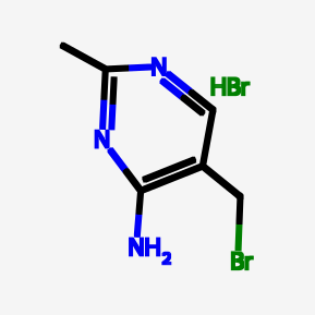 Br.Cc1ncc(CBr)c(N)n1